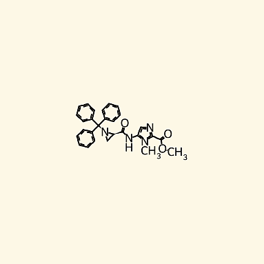 COC(=O)c1ncc(NC(=O)[C@H]2C[N@@]2C(c2ccccc2)(c2ccccc2)c2ccccc2)n1C